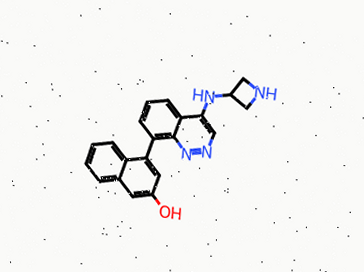 Oc1cc(-c2cccc3c(NC4CNC4)cnnc23)c2ccccc2c1